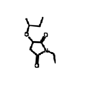 CCC(C)OC1CC(=O)N(CC)C1=O